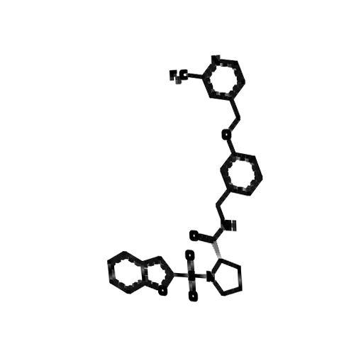 O=C(NCc1cccc(OCc2ccnc(C(F)(F)F)c2)c1)[C@@H]1CCCN1S(=O)(=O)c1cc2ccccc2o1